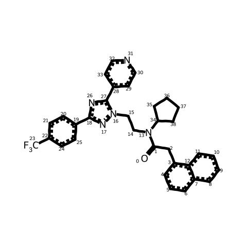 O=C(Cc1cccc2ccccc12)N(CCn1nc(-c2ccc(C(F)(F)F)cc2)nc1-c1ccncc1)C1CCCC1